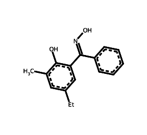 CCc1cc(C)c(O)c(C(=NO)c2ccccc2)c1